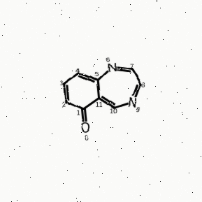 O=c1cccc2nccncc1-2